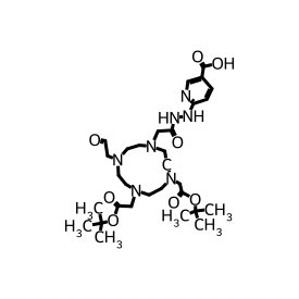 CC(C)(C)OC(=O)CN1CCN(CC=O)CCN(CC(=O)NNc2ccc(C(=O)O)cn2)CCN(CC(=O)OC(C)(C)C)CC1